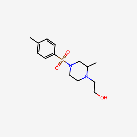 Cc1ccc(S(=O)(=O)N2CCN(CCO)C(C)C2)cc1